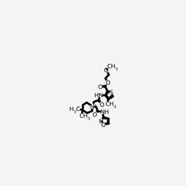 COCCOC(=O)c1scc(C)c1NC(=O)C[N+]1(CC(=O)Nc2ccon2)CCC(C)(C)CC1